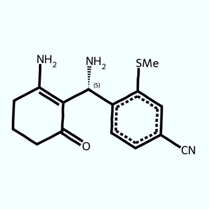 CSc1cc(C#N)ccc1[C@@H](N)C1=C(N)CCCC1=O